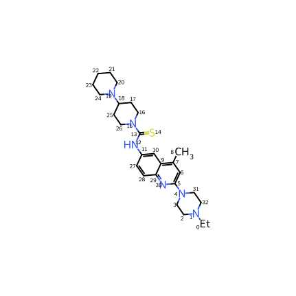 CCN1CCN(c2cc(C)c3cc(NC(=S)N4CCC(N5CCCCC5)CC4)ccc3n2)CC1